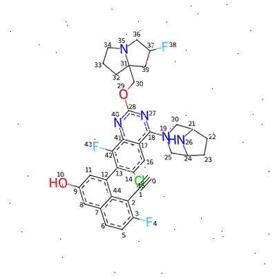 C#Cc1c(F)ccc2cc(O)cc(-c3c(Cl)cc4c(N5CC6CCC(C5)N6)nc(OCC56CCCN5CC(F)C6)nc4c3F)c12